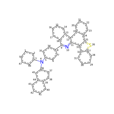 c1ccc(N(c2ccc(-c3nc4c(c5ccccc35)c3ccccc3c3sc5ccccc5c43)cc2)c2ccc3ccccc3c2)cc1